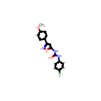 COc1ccc(-c2cc(NC(=O)Nc3ccc(Cl)cc3)on2)cc1